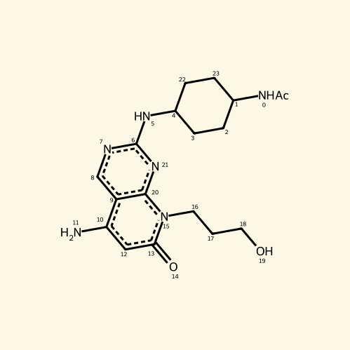 CC(=O)NC1CCC(Nc2ncc3c(N)cc(=O)n(CCCO)c3n2)CC1